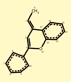 C/C=C1/C=C(c2ccccc2)Oc2ccccc21